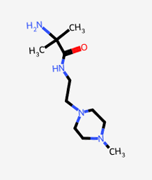 CN1CCN(CCNC(=O)C(C)(C)N)CC1